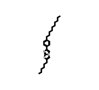 CCCCCCCCCCc1ccc(-c2cn3cc(CCCCCC)sc3n2)cc1